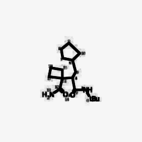 CC(C)(C)NC(=O)C(CC1CCCC1)C1(C(N)=O)CCC1